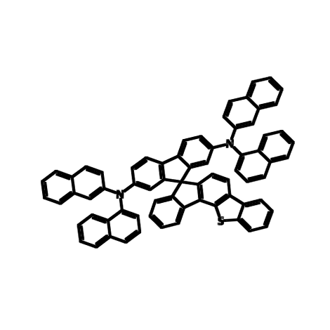 c1ccc2c(c1)-c1c(ccc3c1sc1ccccc13)C21c2cc(N(c3ccc4ccccc4c3)c3cccc4ccccc34)ccc2-c2ccc(N(c3ccc4ccccc4c3)c3cccc4ccccc34)cc21